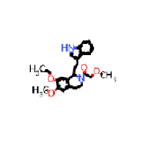 CCOc1cc2c(cc1OC)CCN(C(=O)COC)C2CCc1c[nH]c2ccccc12